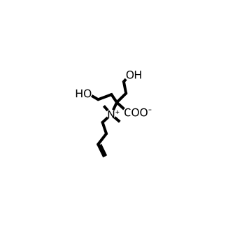 C=CCC[N+](C)(C)C(CCO)(CCO)C(=O)[O-]